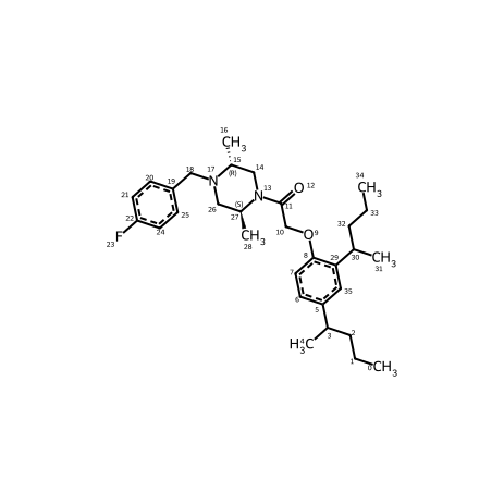 CCCC(C)c1ccc(OCC(=O)N2C[C@@H](C)N(Cc3ccc(F)cc3)C[C@@H]2C)c(C(C)CCC)c1